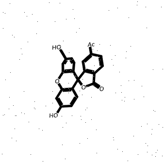 CC(=O)c1ccc2c(c1)C1(OC2=O)c2ccc(O)cc2Oc2cc(O)ccc21